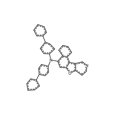 c1ccc(-c2ccc(N(c3ccc(-c4ccccc4)cc3)c3cc4oc5ccncc5c4c4ccccc34)cc2)cc1